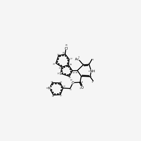 CC(=O)C1=C(C)NC(C)=C(C(=O)OCc2ccncc2)C1c1csc2ccc(Cl)cc12